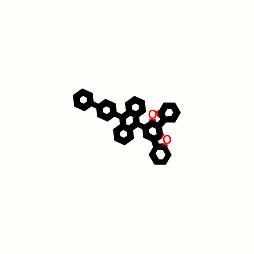 C1=Cc2c(oc3c2cc(-c2c4ccccc4c(-c4ccc(-c5ccccc5)cc4)c4ccccc24)c2oc4ccccc4c23)CC1